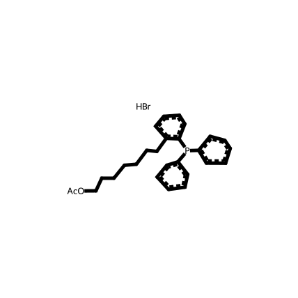 Br.CC(=O)OCCCCCCCc1ccccc1P(c1ccccc1)c1ccccc1